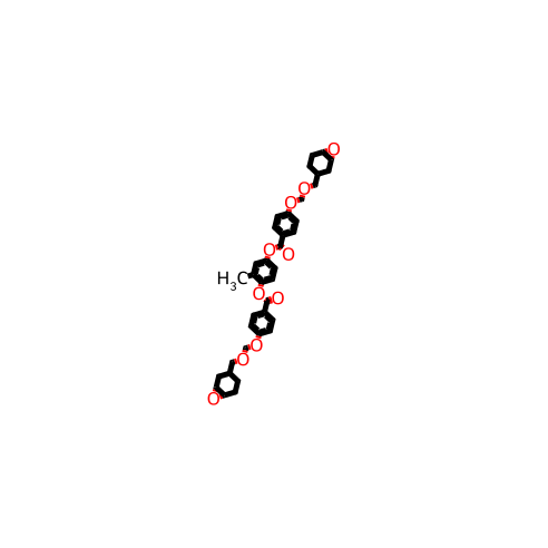 Cc1cc(OC(=O)c2ccc(OCOCC3CCC4OC4C3)cc2)ccc1OC(=O)c1ccc(OCOCC2CCC3OC3C2)cc1